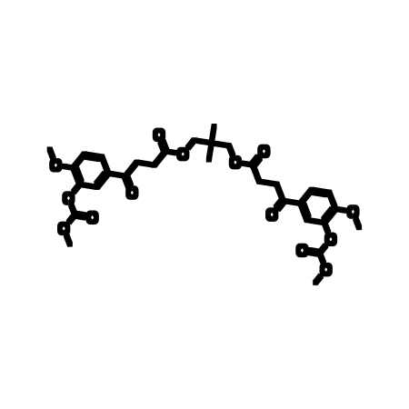 COC(=O)Oc1cc(C(=O)CCC(=O)OCC(C)(C)COC(=O)CCC(=O)c2ccc(OC)c(OC(=O)OC)c2)ccc1OC